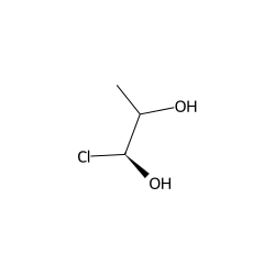 CC(O)[C@@H](O)Cl